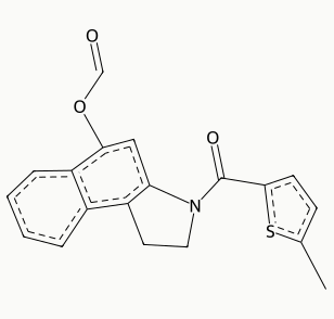 Cc1ccc(C(=O)N2CCc3c2cc(OC=O)c2ccccc32)s1